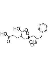 O=CC(Cc1ccccc1)CP(=O)(O)CC(CCC(=O)O)C(=O)O